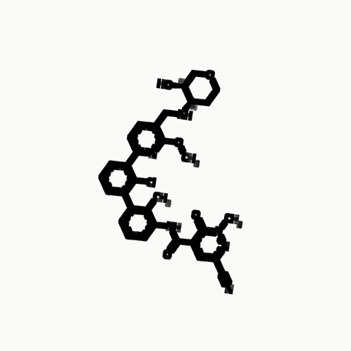 COc1nc(-c2cccc(-c3cccc(NC(=O)c4cc(C#N)nn(C)c4=O)c3C)c2Cl)ccc1CN[C@@H]1CCOC[C@@H]1O